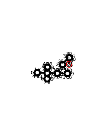 c1ccc(-c2c3ccccc3c(-c3ccc(-c4ccccc4-c4cccc5c4oc4ccccc45)cc3)c3ccccc23)cc1